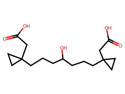 O=C(O)CC1(CCCC(O)CCCC2(CC(=O)O)CC2)CC1